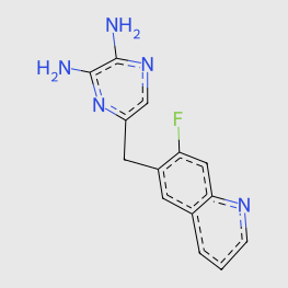 Nc1ncc(Cc2cc3cccnc3cc2F)nc1N